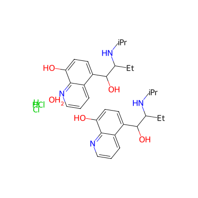 CCC(NC(C)C)C(O)c1ccc(O)c2ncccc12.CCC(NC(C)C)C(O)c1ccc(O)c2ncccc12.Cl.Cl.O